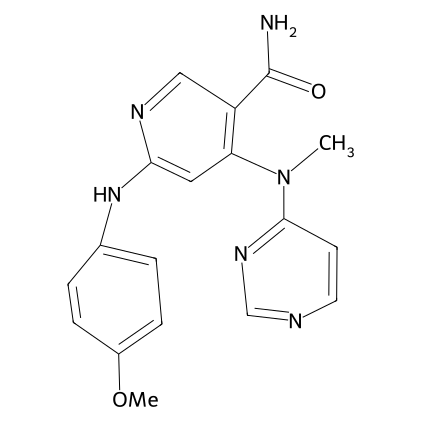 COc1ccc(Nc2cc(N(C)c3ccncn3)c(C(N)=O)cn2)cc1